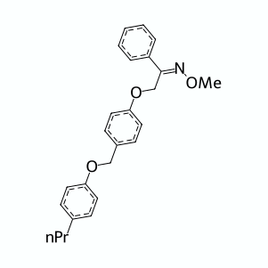 CCCc1ccc(OCc2ccc(OC/C(=N\OC)c3ccccc3)cc2)cc1